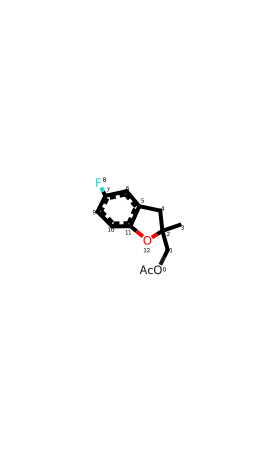 CC(=O)OCC1(C)Cc2cc(F)ccc2O1